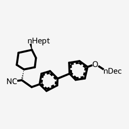 CCCCCCCCCCOc1ccc(-c2ccc(CC(C#N)[C@H]3CC[C@H](CCCCCCC)CC3)cc2)cc1